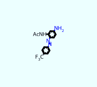 CC(=O)Nc1cc(N)ccc1/N=N/c1ccc(C(F)(F)F)cc1